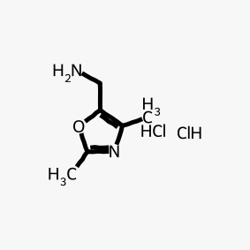 Cc1nc(C)c(CN)o1.Cl.Cl